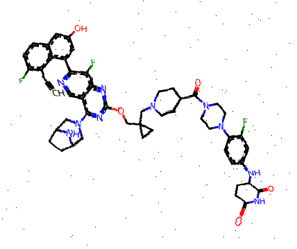 C#Cc1c(F)ccc2cc(O)cc(-c3ncc4c(N5CC6CCC(C5)N6)nc(OCC5(CN6CCC(C(=O)N7CCN(c8ccc(NC9CCC(=O)NC9=O)cc8F)CC7)CC6)CC5)nc4c3F)c12